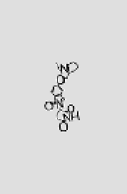 CCN1C2CCC(C2)C1COc1ccc2c(c1)CN(C1CCC(=O)NC1=O)C2=O